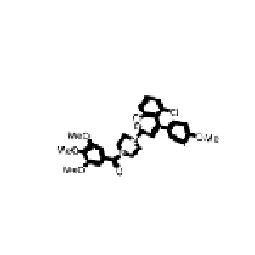 COc1ccc(/C(=C/C(=O)N2CCN(C(=O)c3cc(OC)c(OC)c(OC)c3)CC2)c2c(Cl)cccc2Cl)cc1